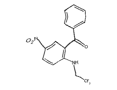 O=C(c1ccccc1)c1cc([N+](=O)[O-])ccc1NCC(F)(F)F